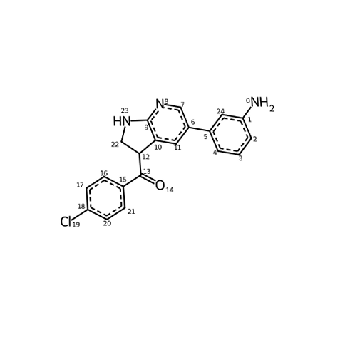 Nc1cccc(-c2cnc3c(c2)C(C(=O)c2ccc(Cl)cc2)CN3)c1